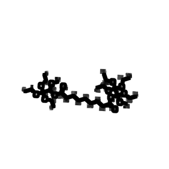 CCOC(OCC)(OCC)C(OC)OC(=O)CCCCCCCC(=O)OC(OC)(OCC)C(OCC)(OCC)OCC